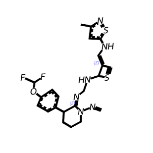 C=NN1CCCC(c2ccc(OC(F)F)cc2)/C1=N/CNC1S#C/C1=C\Nc1cc(C)ns1